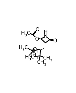 CC(=O)O[C@H]1NC(=O)[C@@H]1C[C@@H](O[SiH](C)C)C(C)(C)C